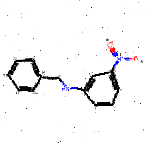 O=[N+]([O-])c1cccc(NCc2ccccc2)c1